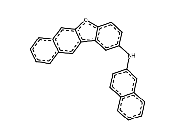 c1ccc2cc(Nc3ccc4oc5cc6ccccc6cc5c4c3)ccc2c1